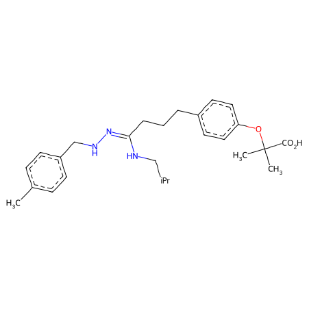 Cc1ccc(CN/N=C(/CCCc2ccc(OC(C)(C)C(=O)O)cc2)NCC(C)C)cc1